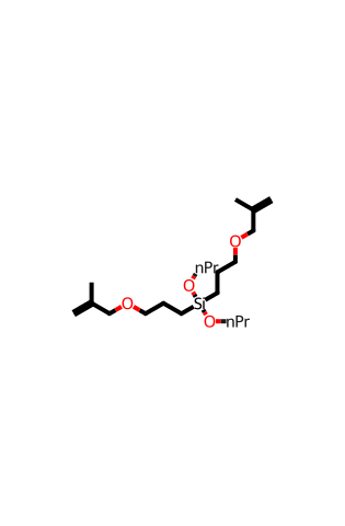 C=C(C)COCCC[Si](CCCOCC(=C)C)(OCCC)OCCC